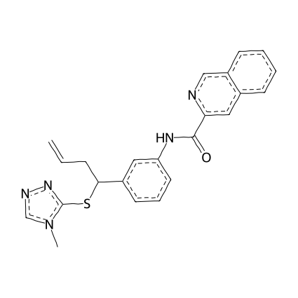 C=CCC(Sc1nncn1C)c1cccc(NC(=O)c2cc3ccccc3cn2)c1